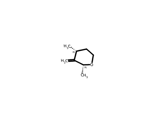 C=C1[C@H](C)CCO[C@@H]1C